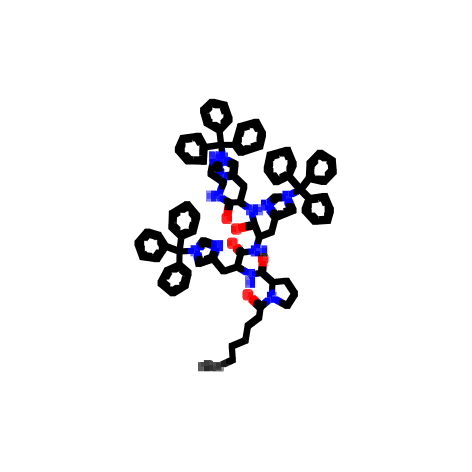 CCCCCCCCCCCCCCCC(=O)N1CCCC1C(=O)NC(Cc1cn(C(c2ccccc2)(c2ccccc2)c2ccccc2)cn1)C(=O)NC(Cc1cn(C(c2ccccc2)(c2ccccc2)c2ccccc2)cn1)C(=O)NC(Cc1cn(C(c2ccccc2)(c2ccccc2)c2ccccc2)cn1)C(=O)NCCN